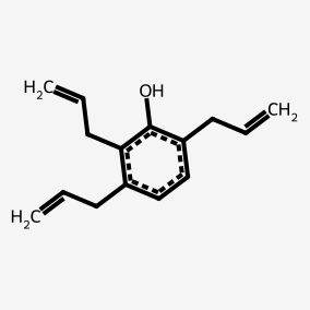 C=CCc1ccc(CC=C)c(CC=C)c1O